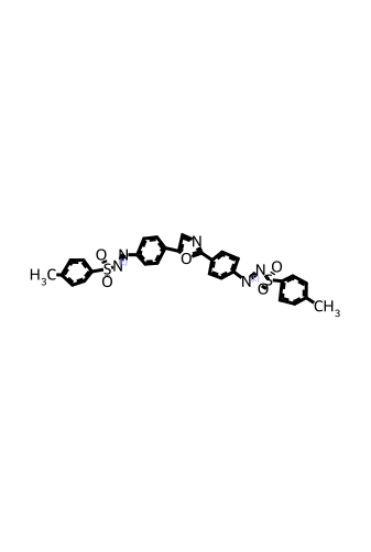 Cc1ccc(S(=O)(=O)/N=N/c2ccc(-c3cnc(-c4ccc(/N=N/S(=O)(=O)c5ccc(C)cc5)cc4)o3)cc2)cc1